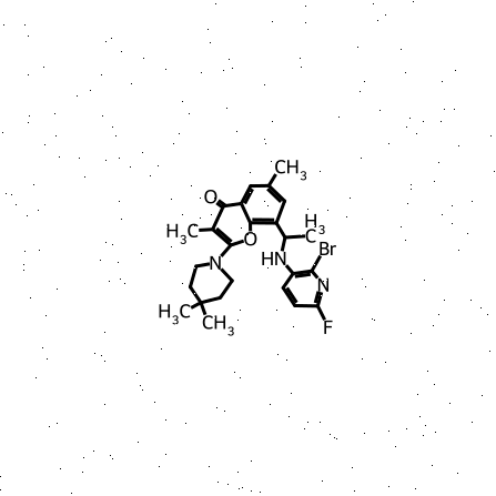 Cc1cc(C(C)Nc2ccc(F)nc2Br)c2oc(N3CCC(C)(C)CC3)c(C)c(=O)c2c1